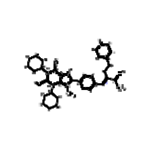 Cn1c(-c2ccc(/C=C(\CCc3ccncc3)C(N)=O)cc2)nc2c(=O)n(C3CCCCC3)c(=O)n(C3CCCCC3)c21